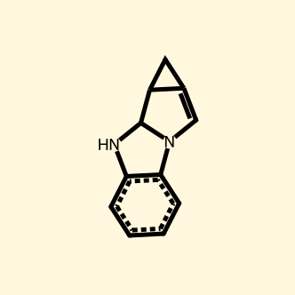 C1=C2CC2C2Nc3ccccc3N12